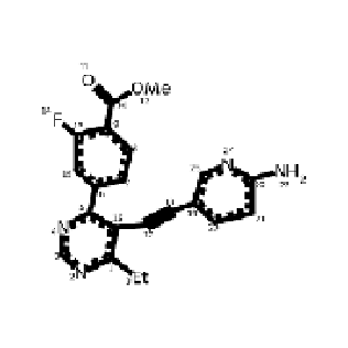 CCc1ncnc(-c2ccc(C(=O)OC)c(F)c2)c1C#Cc1ccc(N)nc1